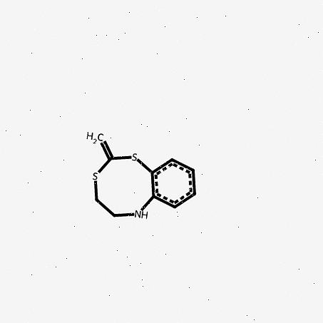 C=C1SCCNc2ccccc2S1